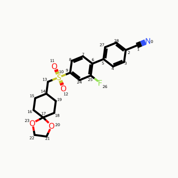 N#Cc1ccc(-c2ccc(S(=O)(=O)CC3CCC4(CC3)OCCO4)cc2F)cc1